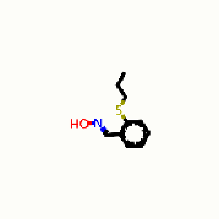 CCCSc1ccccc1/C=N/O